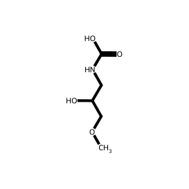 COCC(O)CNC(=O)O